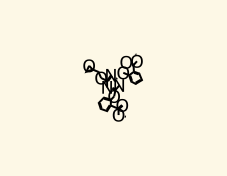 COC(=O)c1ccccc1Oc1nc(OCC2CO2)nc(Oc2ccccc2C(=O)OC)n1